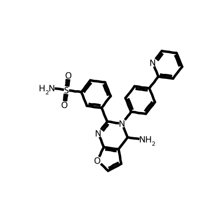 NC1c2ccoc2N=C(c2cccc(S(N)(=O)=O)c2)N1c1ccc(-c2ccccn2)cc1